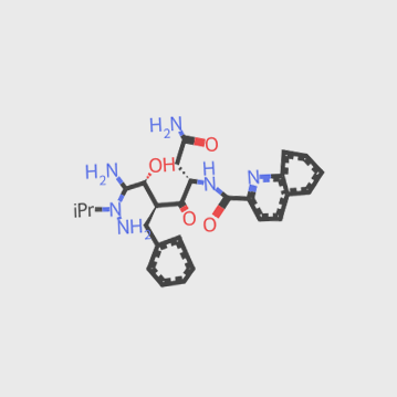 CC(C)N(N)C(N)[C@H](O)[C@H](Cc1ccccc1)C(=O)[C@H](CC(N)=O)NC(=O)c1ccc2ccccc2n1